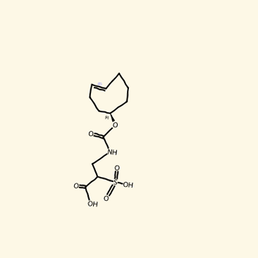 O=C(NCC(C(=O)O)S(=O)(=O)O)O[C@H]1CC/C=C/CCC1